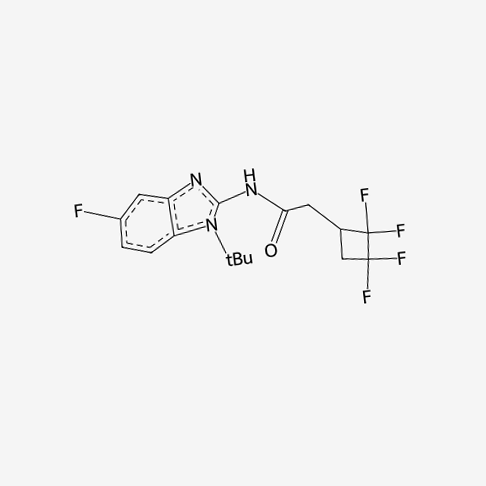 CC(C)(C)n1c(NC(=O)CC2CC(F)(F)C2(F)F)nc2cc(F)ccc21